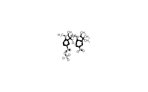 CC1=[N+](C)c2ccc([N+](=O)[O-])cc2C1(C)C.CC1=[N+](C)c2ccc([N+](=O)[O-])cc2C1(C)C.O=S(=O)([O-])[O-]